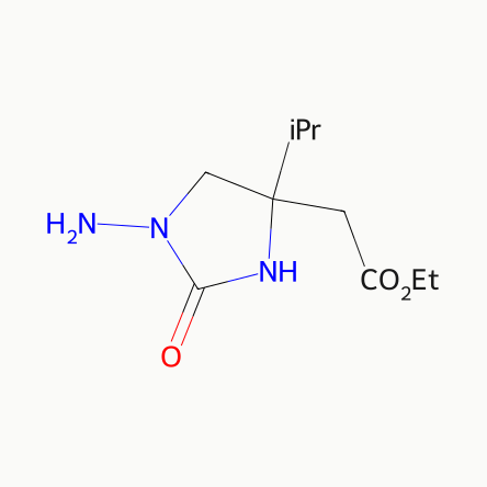 CCOC(=O)CC1(C(C)C)CN(N)C(=O)N1